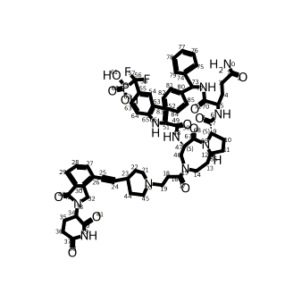 NC(=O)CCC(NC(=O)[C@@H]1CC[C@@H]2CCN(C(=O)CCN3CCC(C#Cc4cccc5c4CN(C4CCC(=O)NC4=O)C5=O)CC3)C[C@H](NC(=O)c3cc4cc(C(F)(F)P(=O)(O)O)ccc4[nH]3)C(=O)N21)C(=O)NC(c1ccccc1)c1ccccc1